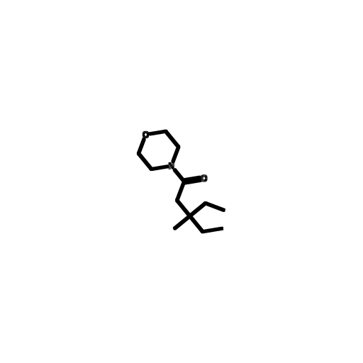 CCC(C)(CC)CC(=O)N1CCOCC1